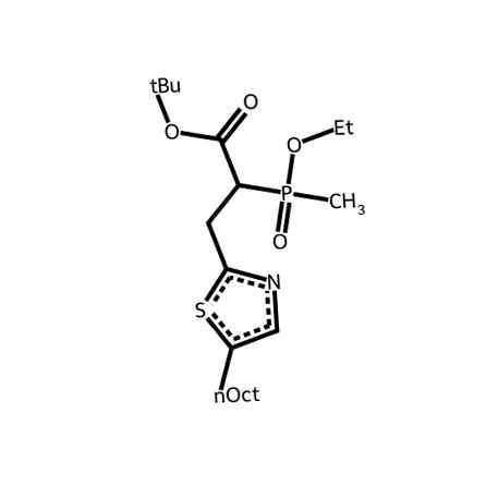 CCCCCCCCc1cnc(CC(C(=O)OC(C)(C)C)P(C)(=O)OCC)s1